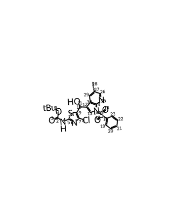 CC(C)(C)OC(=O)Nc1nc(Cl)c(C(O)c2cn(S(=O)(=O)c3ccccc3)c3ncc(I)cc23)s1